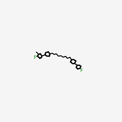 Cc1cc(-c2ccc(CCCCCCCCCc3ccc(-c4ccc(F)cc4)cc3)cc2)ccc1F